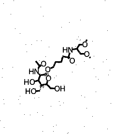 COCC(COC)NC(=O)CCCCO[C@@H]1OC(CO)[C@H](CO)C(O)C1NC(C)=O